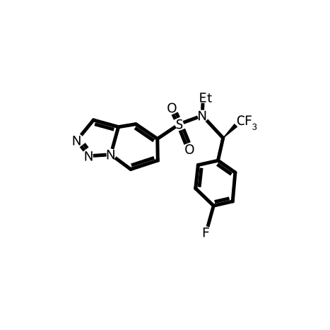 CCN([C@H](c1ccc(F)cc1)C(F)(F)F)S(=O)(=O)c1ccn2nncc2c1